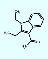 CCc1c(C(N)=O)c2ccccc2n1CC